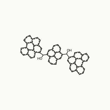 OC(c1cc2cccc3c(C(O)c4cc5ccc6cccc7c8cccc9ccc4c(c98)c5c67)cc4cccc1c4c23)c1cc2ccc3cccc4c5cccc6ccc1c(c65)c2c34